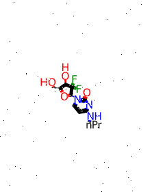 CCCNc1ccn([C@@H]2O[C@H](CO)[C@@H](O)C2(F)F)c(=O)n1